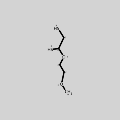 COCCOC(S)CS